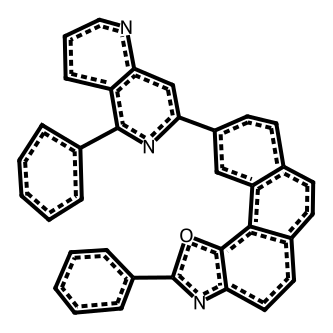 c1ccc(-c2nc3ccc4ccc5ccc(-c6cc7ncccc7c(-c7ccccc7)n6)cc5c4c3o2)cc1